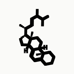 CC(C)C(C)C=C[C@@H](C)[C@H]1CC[C@H]2C3=CC=C4CCCC[C@]4(C)[C@H]3CC[C@]12C